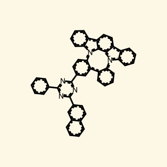 c1ccc(-c2nc(-c3ccc4ccccc4c3)nc(-c3ccc4c(c3)c3ccccc3n3c5ccccc5c5ccc6c7ccccc7n4c6c53)n2)cc1